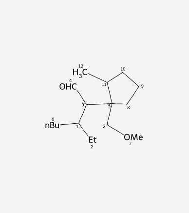 CCCCC(CC)C(C=O)C1(COC)CCCC1C